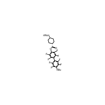 CCCCCCCCC[C@H]1CC[C@H](C(=O)Oc2c(F)c(F)c(-c3c(F)c(F)c(CCCC)c(F)c3F)c(F)c2F)CC1